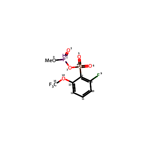 CO[PH](=O)OS(=O)(=O)c1c(F)cccc1OC(F)(F)F